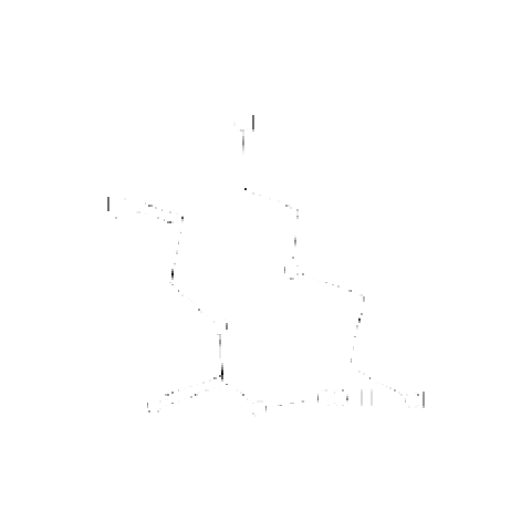 C=CCOC(=O)OC(=O)O.OCCOCCO